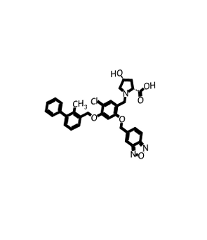 Cc1c(COc2cc(OCc3ccc4nonc4c3)c(CN3C[C@H](O)C[C@@H]3C(=O)O)cc2Cl)cccc1-c1ccccc1